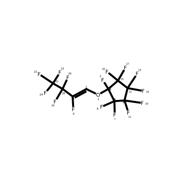 FC(=COC1(F)C(F)(F)C(F)(F)C(F)(F)C1(F)F)C(F)(F)C(F)(F)F